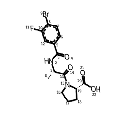 C[C@H](NC(=O)c1ccc(Br)c(F)c1)C(=O)N1CCC[C@H]1C(=O)O